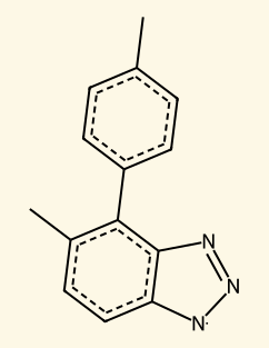 Cc1ccc(-c2c(C)ccc3c2N=N[N]3)cc1